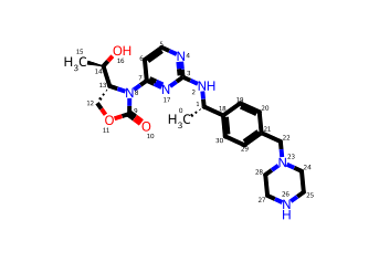 C[C@H](Nc1nccc(N2C(=O)OC[C@@H]2[C@@H](C)O)n1)c1ccc(CN2CCNCC2)cc1